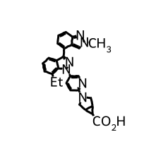 CCc1cccc2c(-c3cccc4nn(C)cc34)nn(-c3ccc(N4CC5C(C4)C5C(=O)O)nc3)c12